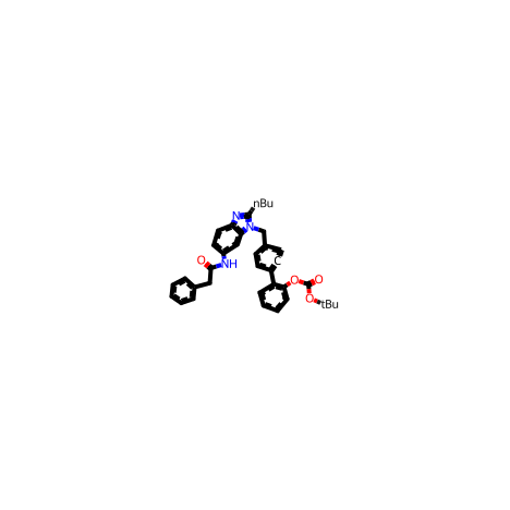 CCCCc1nc2ccc(NC(=O)Cc3ccccc3)cc2n1Cc1ccc(-c2ccccc2OC(=O)OC(C)(C)C)cc1